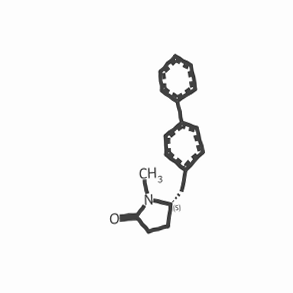 CN1C(=O)CC[C@H]1Cc1ccc(-c2ccccc2)cc1